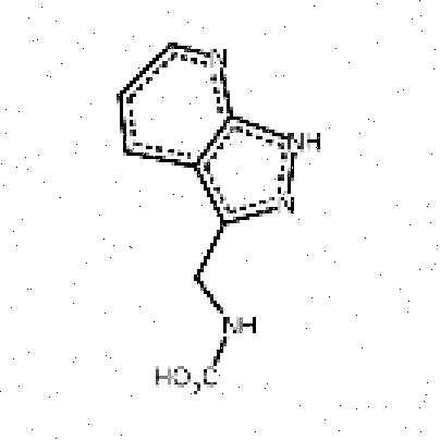 O=C(O)NCc1n[nH]c2ncccc12